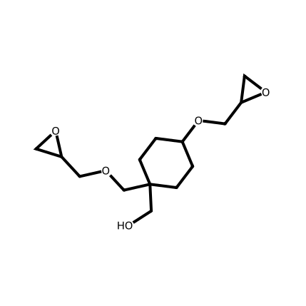 OCC1(COCC2CO2)CCC(OCC2CO2)CC1